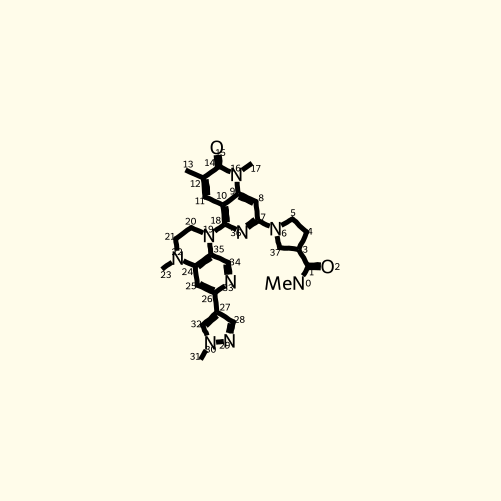 CNC(=O)C1CCN(c2cc3c(cc(C)c(=O)n3C)c(N3CCN(C)c4cc(-c5cnn(C)c5)ncc43)n2)C1